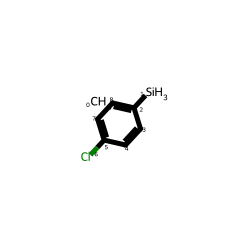 C.[SiH3]c1ccc(Cl)cc1